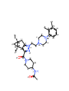 CC(=O)NC1CCN(C(=O)c2nn(CCN3CCN(c4cccc(C)c4C)CC3)c3c2[C@@H]2C[C@@H]2C3)CC1